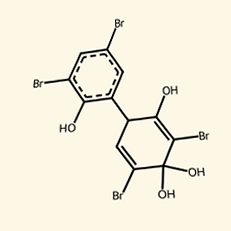 OC1=C(Br)C(O)(O)C(Br)=CC1c1cc(Br)cc(Br)c1O